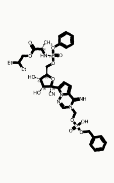 CCC(CC)COC(=O)[C@H](C)N[P@](=O)(OC[C@H]1O[C@@](C#N)(c2ccc3c(=N)n(COP(=O)(O)OCc4ccccc4)cnn23)[C@H](O)[C@@H]1O)Oc1ccccc1